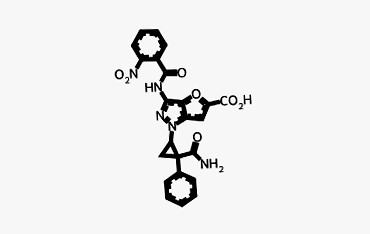 NC(=O)C1(c2ccccc2)CC1n1nc(NC(=O)c2ccccc2[N+](=O)[O-])c2oc(C(=O)O)cc21